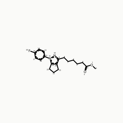 COC(=O)CCCCCc1nn(-c2ccc(F)cc2)c2c1CCC2